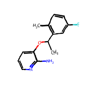 Cc1ccc(F)cc1C(C)Oc1cccnc1N